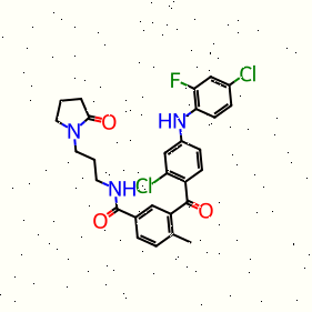 Cc1ccc(C(=O)NCCCN2CCCC2=O)cc1C(=O)c1ccc(Nc2ccc(Cl)cc2F)cc1Cl